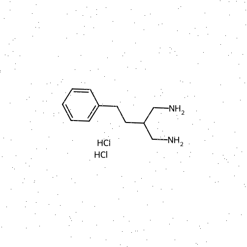 Cl.Cl.NCC(CN)CCc1ccccc1